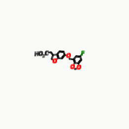 O=C(O)CC1COc2cc(OCc3cc(F)cc4c3OCO4)ccc21